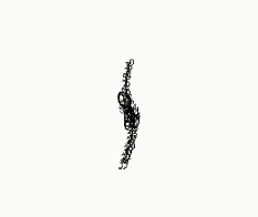 CCCCCCCCCCCOc1ccc(-c2ncc(OC(=O)CCCCCCCCCCC)cn2)cc1